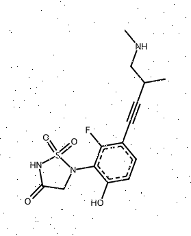 CNCC(C)C#Cc1ccc(O)c(N2CC(=O)NS2(=O)=O)c1F